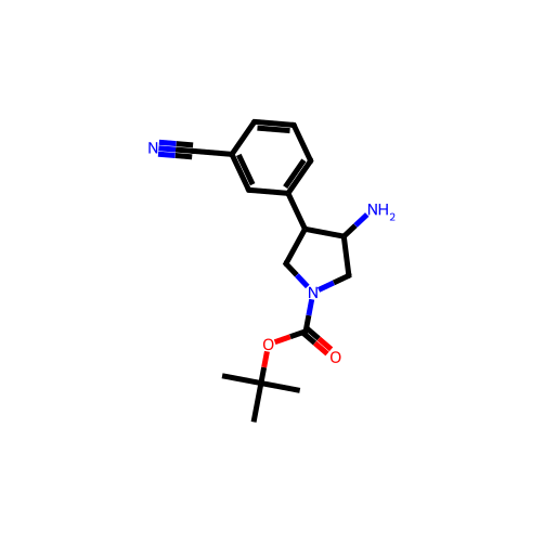 CC(C)(C)OC(=O)N1CC(N)C(c2cccc(C#N)c2)C1